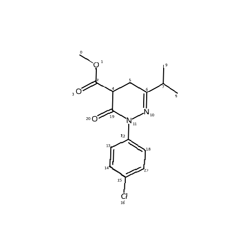 COC(=O)C1CC(C(C)C)=NN(c2ccc(Cl)cc2)C1=O